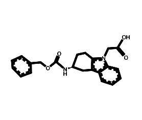 O=C(O)Cn1c2c(c3ccccc31)C[C@H](NC(=O)OCc1ccccc1)CC2